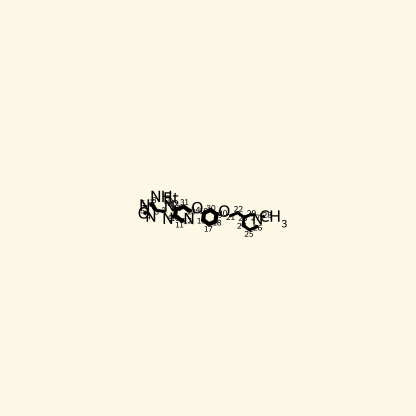 CCn1c(-c2nonc2N)nc2cnc(Oc3cccc(OCCC4CCCN(C)C4)c3)cc21